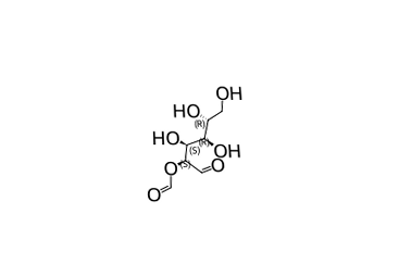 O=CO[C@H](C=O)[C@@H](O)[C@H](O)[C@H](O)CO